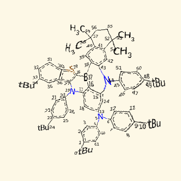 CC(C)(C)c1ccc(N(c2ccc(C(C)(C)C)cc2)c2cc3c4c(c2)N(c2ccc(C(C)(C)C)cc2)c2c(sc5ccc(C(C)(C)C)cc25)B4c2cc4c(cc2N3c2ccc(C(C)(C)C)cc2)C(C)(C)CCC4(C)C)cc1